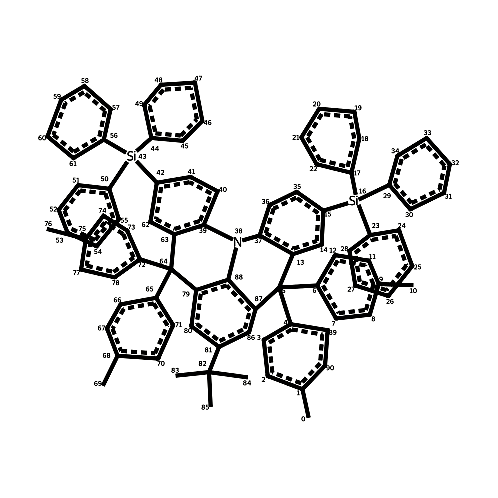 Cc1ccc(C2(c3ccc(C)cc3)c3cc([Si](c4ccccc4)(c4ccccc4)c4ccccc4)ccc3N3c4ccc([Si](c5ccccc5)(c5ccccc5)c5ccccc5)cc4C(c4ccc(C)cc4)(c4ccc(C)cc4)c4cc(C(C)(C)C)cc2c43)cc1